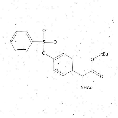 CC(=O)NC(C(=O)OC(C)(C)C)c1ccc(OS(=O)(=O)c2ccccc2)cc1